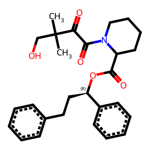 CC(C)(CO)C(=O)C(=O)N1CCCCC1C(=O)O[C@H](CCc1ccccc1)c1ccccc1